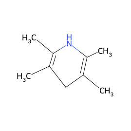 CC1=C(C)NC(C)=C(C)C1